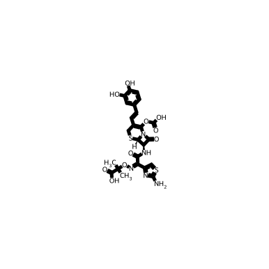 CC(C)(O/N=C(\C(=O)N[C@@H]1C(=O)N2C(OC(=O)O)=C(C=Cc3ccc(O)c(O)c3)CS[C@H]12)c1csc(N)n1)C(=O)O